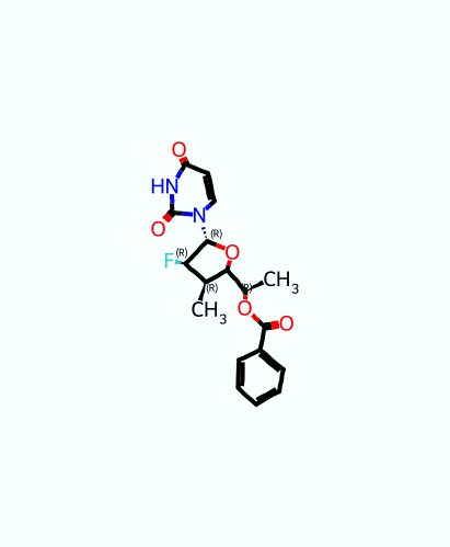 C[C@@H]1C([C@@H](C)OC(=O)c2ccccc2)O[C@@H](n2ccc(=O)[nH]c2=O)[C@@H]1F